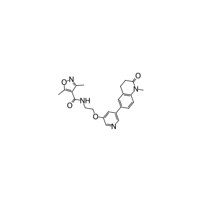 Cc1noc(C)c1C(=O)NCCOc1cncc(-c2ccc3c(c2)CCC(=O)N3C)c1